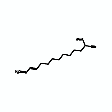 C=C/C=C/CCCCCCCCC(CCCCC)OC(C)=O